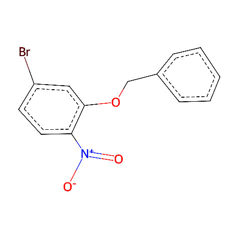 O=[N+]([O-])c1ccc(Br)cc1OCc1ccccc1